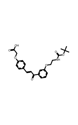 CC(C)(C)OC(=O)NCCOc1cccc(C(=O)C=Cc2ccc(OCC(=O)O)cc2)c1